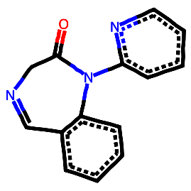 O=C1CN=Cc2ccccc2N1c1ccccn1